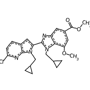 COC(=O)c1cc(OC)c2c(c1)nc(-c1cc3ccc(Cl)nc3n1CC1CC1)n2CC1CC1